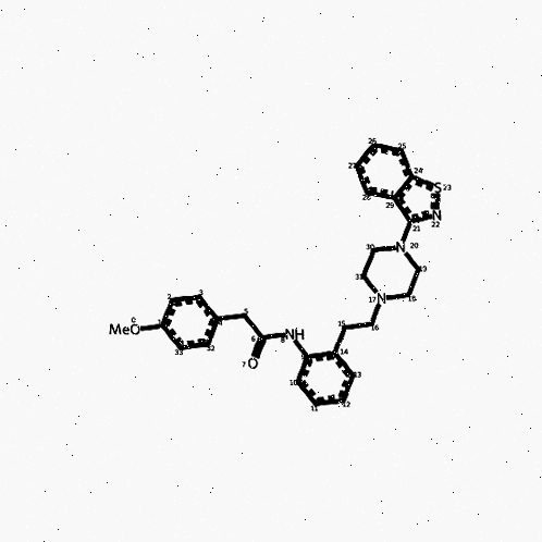 COc1ccc(CC(=O)Nc2ccccc2CCN2CCN(c3nsc4ccccc34)CC2)cc1